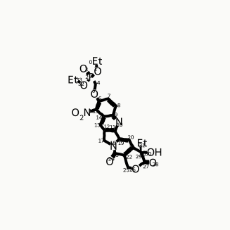 CCOP(=O)(COc1ccc2nc3c(cc2c1[N+](=O)[O-])Cn1c-3cc2c(c1=O)COC(=O)[C@]2(O)CC)OCC